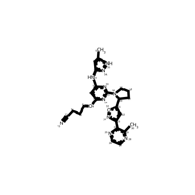 Cc1cc(Nc2cc(OCCCC#N)nc(N3CCCC3c3cc(-c4nccnc4C)no3)n2)n[nH]1